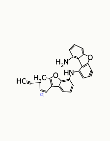 C#CC/C=C\c1c(C)oc2c(Nc3cc#cc4oc5cccc(N)c5c34)cccc12